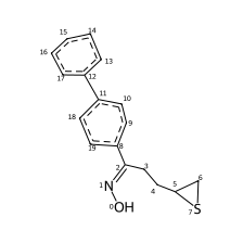 O/N=C(\CCC1CS1)c1ccc(-c2ccccc2)cc1